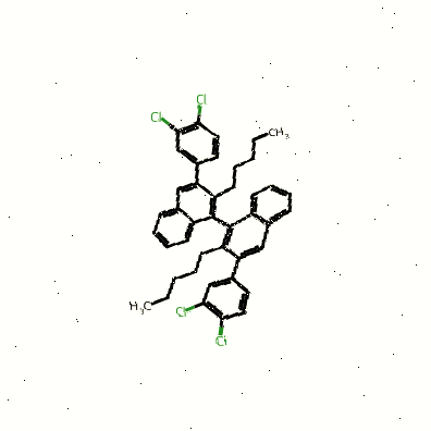 CCCCCc1c(-c2ccc(Cl)c(Cl)c2)cc2ccccc2c1-c1c(CCCCC)c(-c2ccc(Cl)c(Cl)c2)cc2ccccc12